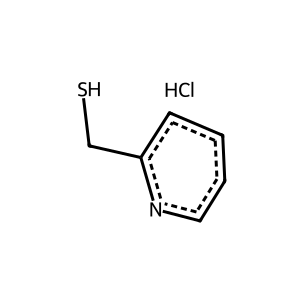 Cl.SCc1ccccn1